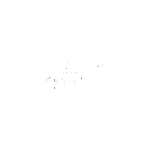 Cl.O=C1CCC(Nc2cccc(C3CCNCC3)c2)C(=O)N1